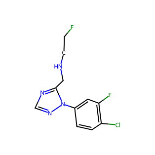 FCCNCc1ncnn1-c1ccc(Cl)c(F)c1